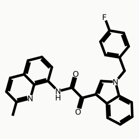 Cc1ccc2cccc(NC(=O)C(=O)c3cn(Cc4ccc(F)cc4)c4ccccc34)c2n1